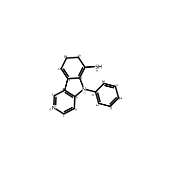 SC1=c2c(c3cnccc3n2-c2ccccc2)=CCC1